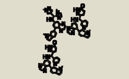 Cn1cc(C(Nc2cc(-c3ccc4ccn(C)c4c3)c3nccnc3c2)c2nccn2C)cn1.Cn1ccc2ccc(-c3cc(N[C@@H](c4cccnc4)c4ccc(=O)[nH]n4)cc4nccnc34)cc21.Cn1ccc2ccc(-c3cc(N[C@H](c4cccnc4)c4ccc(=O)[nH]n4)cc4nccnc34)cc21